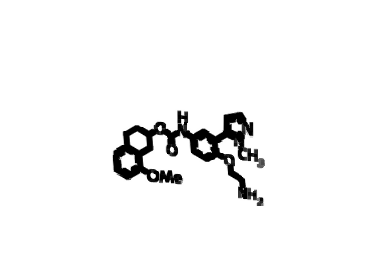 COc1cccc2c1CC(OC(=O)Nc1ccc(OCCN)c(-c3ccnn3C)c1)CC2